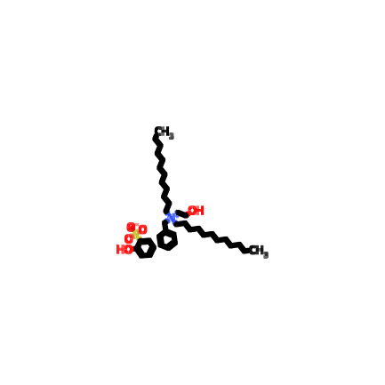 CCCCCCCCCCCC[N+](CCO)(CCCCCCCCCCCC)Cc1ccccc1.O=S(=O)([O-])c1ccccc1O